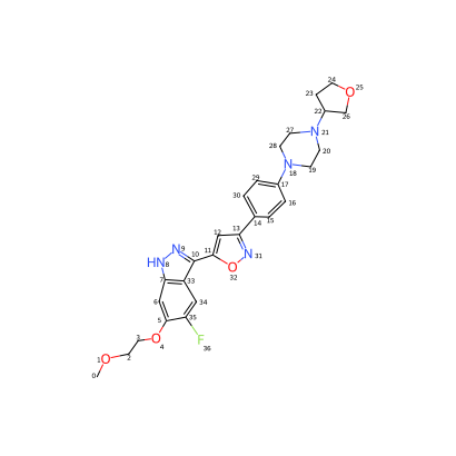 COCCOc1cc2[nH]nc(-c3cc(-c4ccc(N5CCN(C6CCOC6)CC5)cc4)no3)c2cc1F